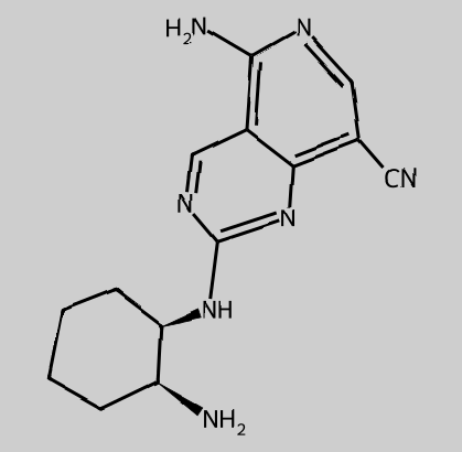 N#Cc1cnc(N)c2cnc(N[C@@H]3CCCC[C@@H]3N)nc12